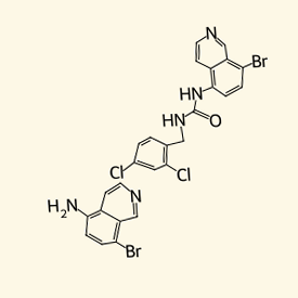 Nc1ccc(Br)c2cnccc12.O=C(NCc1ccc(Cl)cc1Cl)Nc1ccc(Br)c2cnccc12